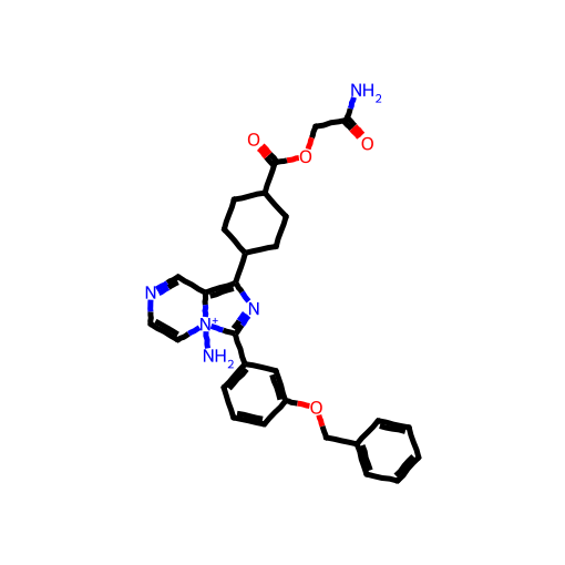 NC(=O)COC(=O)C1CCC(C2=C3C=NC=C[N+]3(N)C(c3cccc(OCc4ccccc4)c3)=N2)CC1